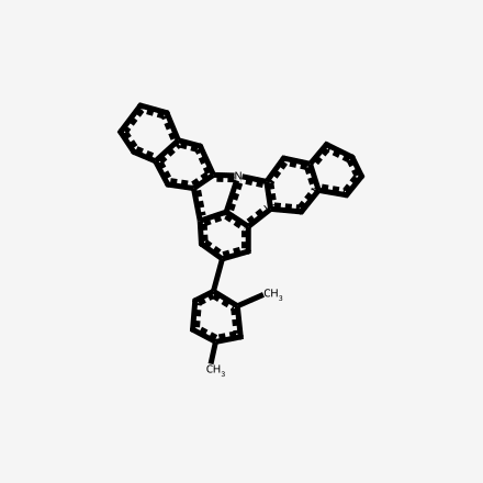 Cc1ccc(-c2cc3c4cc5ccccc5cc4n4c5cc6ccccc6cc5c(c2)c34)c(C)c1